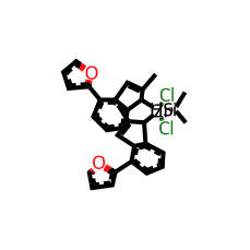 CC1=Cc2c(-c3ccco3)cccc2[CH]1[Zr]([Cl])([Cl])([CH]1C(C)=Cc2c(-c3ccco3)cccc21)[SiH](C)C